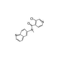 CN(C(=O)c1ccncc1Cl)c1ccc2ncccc2c1